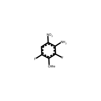 COc1c(F)cc([N+](=O)[O-])c(N)c1F